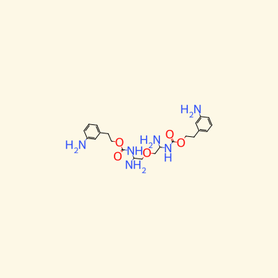 Nc1cccc(CCOC(=O)NC(N)COCC(N)NC(=O)OCCc2cccc(N)c2)c1